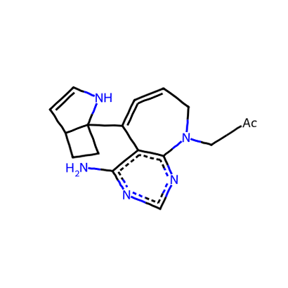 CC(=O)CN1CC=C=C(C23CCC2C=CN3)c2c(N)ncnc21